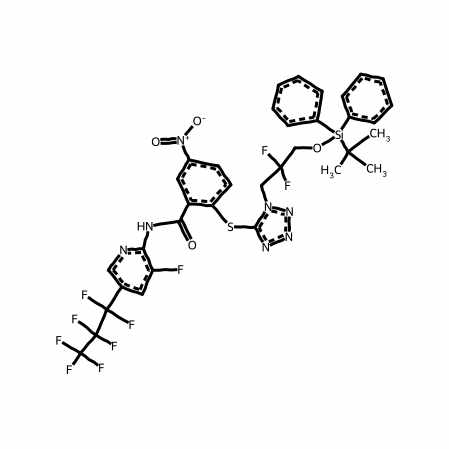 CC(C)(C)[Si](OCC(F)(F)Cn1nnnc1Sc1ccc([N+](=O)[O-])cc1C(=O)Nc1ncc(C(F)(F)C(F)(F)C(F)(F)F)cc1F)(c1ccccc1)c1ccccc1